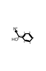 N#C[C@@H](O)c1ccccc1